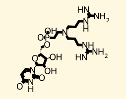 N=C(N)NCCCN(CCCNC(=N)N)CCP(=O)(O)OC[C@H]1O[C@@H](n2ccc(=O)[nH]c2=O)C(O)[C@H]1O